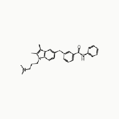 Cc1c(C)n(CCCN(C)C)c2ccc(Cc3cccc(C(=O)Nc4ccccc4)c3)cc12